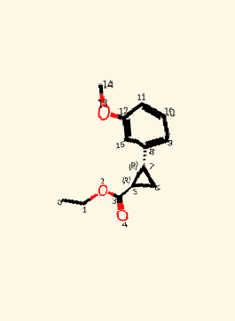 CCOC(=O)[C@@H]1C[C@H]1c1cccc(OC)c1